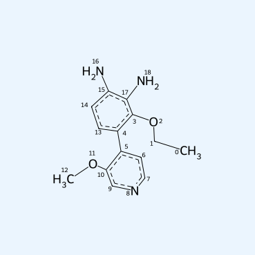 CCOc1c(-c2ccncc2OC)ccc(N)c1N